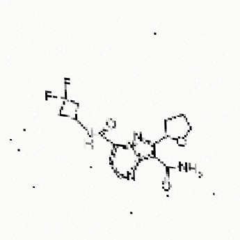 NC(=O)c1c(C2CCCO2)nn2c(C(=O)NC3CC(F)(F)C3)ccnc12